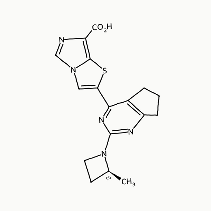 C[C@H]1CCN1c1nc2c(c(-c3cn4cnc(C(=O)O)c4s3)n1)CCC2